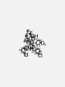 COc1ccc(C(NC(=O)C(Cc2cccc(Cl)c2)NC(=O)Cc2cccc(Cl)c2)C(=O)NC(C(C)C)C(O)C(F)(F)F)cc1